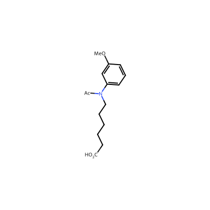 COc1cccc(N(CCCCCC(=O)O)C(C)=O)c1